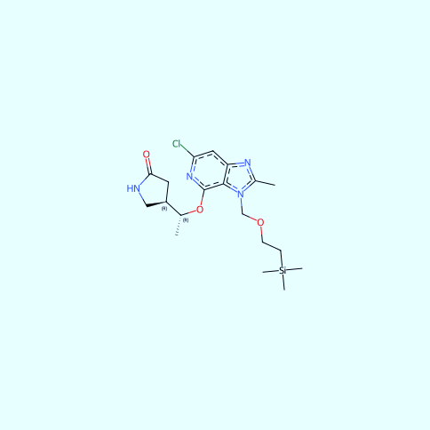 Cc1nc2cc(Cl)nc(O[C@H](C)[C@H]3CNC(=O)C3)c2n1COCC[Si](C)(C)C